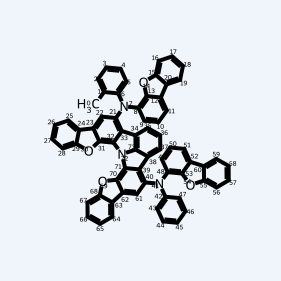 Cc1ccccc1N(c1cccc2c1oc1ccccc12)c1cc2c3ccccc3oc2c2c1c1cccc3c4c(N(c5ccccc5)c5cccc6c5oc5ccccc56)cc5c6ccccc6oc5c4n2c31